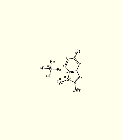 CCCc1cc2cc(CC)ccc2[s+]1C(F)(F)F.F[B-](F)(F)F